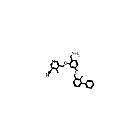 Cc1c(C#N)cncc1COc1cc(OCc2cccc(-c3ccccc3)c2C)ccc1CN